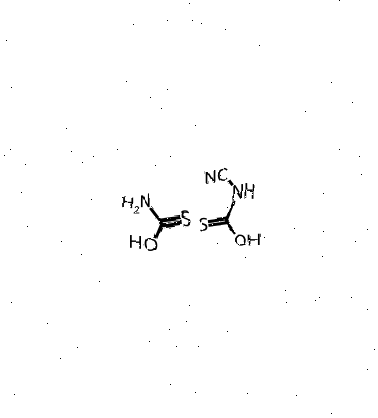 N#CNC(O)=S.NC(O)=S